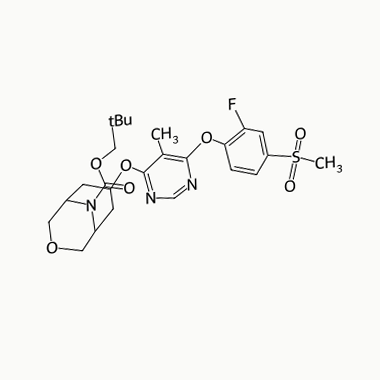 Cc1c(Oc2ccc(S(C)(=O)=O)cc2F)ncnc1OC1CC2COCC(C1)N2C(=O)OCC(C)(C)C